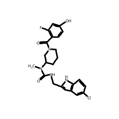 CN(C(=O)NCc1cc2cc(Cl)ccc2[nH]1)C1CCCN(C(=O)c2ccc(O)cc2F)C1